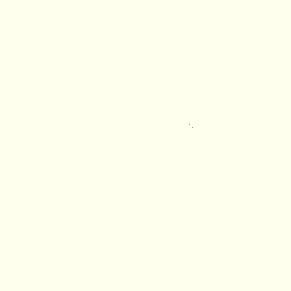 CCC(O)C1C=Cc2ccc(C#N)cc21